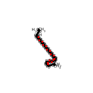 C=C(C)C(=O)OCCNC(=O)C(F)(F)OC(F)(F)OC(F)(F)OC(F)(F)OC(F)(F)OC(F)(F)OC(F)(F)OC(F)(F)OC(F)(F)C(F)(F)OC(F)(F)C(F)(F)OC(F)(F)C(F)(F)OC(F)(F)C(F)(F)OC(F)(F)C(F)(F)OC(F)(F)C(F)(F)OC(F)(F)C(F)(F)OC(F)(F)C(F)(F)OC(F)(F)C(F)(F)OC(F)(F)C(=O)NCCOC(=O)C(=C)C